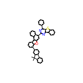 CC1(C)c2ccccc2-c2ccc(-c3cccc4c3oc3cc(-c5nc(-c6ccccc6)c6sc7ccccc7c6n5)c5ccccc5c34)cc21